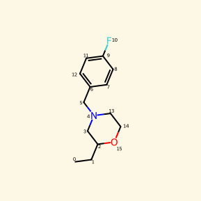 CCC1CN(Cc2ccc(F)cc2)CCO1